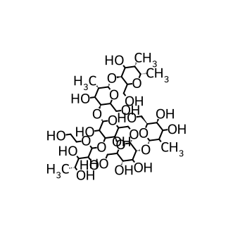 CC1C(O)[C@H](O)[C@H](CO)O[C@H]1O[C@@H]1C(O)[C@H](O)C(CO)O[C@@H]1OCC1O[C@@H](O[C@@H]2C(CO)O[C@@H](O[C@@H]3C(CO)O[C@@H](C)[C@@H](C)C3O)[C@@H](C)C2O)C(O)C(OC(OCCO)C(O)C(O)[C@@H](C)O)[C@@H]1O